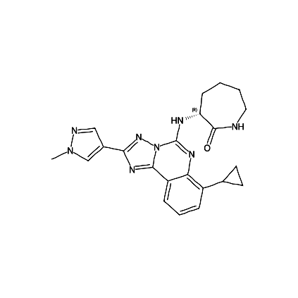 Cn1cc(-c2nc3c4cccc(C5CC5)c4nc(N[C@@H]4CCCCNC4=O)n3n2)cn1